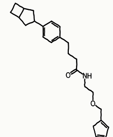 O=C(CCCc1ccc(C2CC3CCC3C2)cc1)NCCOCC1=CC=CC1